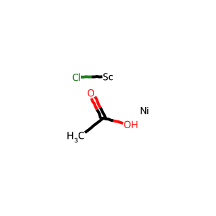 CC(=O)O.[Cl][Sc].[Ni]